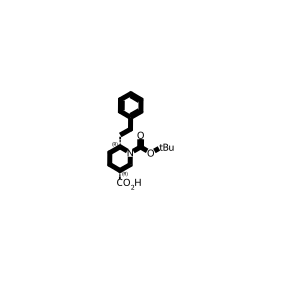 CC(C)(C)OC(=O)N1C[C@H](C(=O)O)CC[C@@H]1CCc1ccccc1